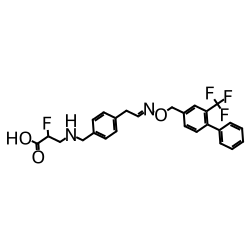 O=C(O)C(F)CNCc1ccc(CC=NOCc2ccc(-c3ccccc3)c(C(F)(F)F)c2)cc1